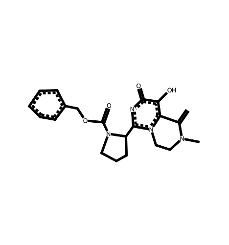 C=C1c2c(O)c(=O)nc(C3CCCN3C(=O)OCc3ccccc3)n2CCN1C